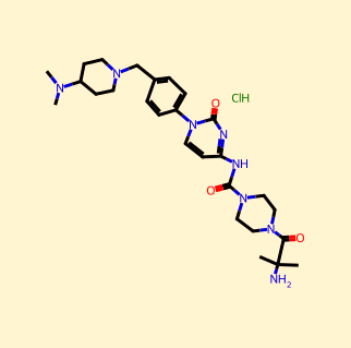 CN(C)C1CCN(Cc2ccc(-n3ccc(NC(=O)N4CCN(C(=O)C(C)(C)N)CC4)nc3=O)cc2)CC1.Cl